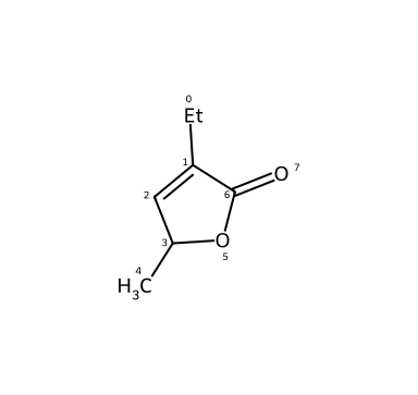 CCC1=CC(C)OC1=O